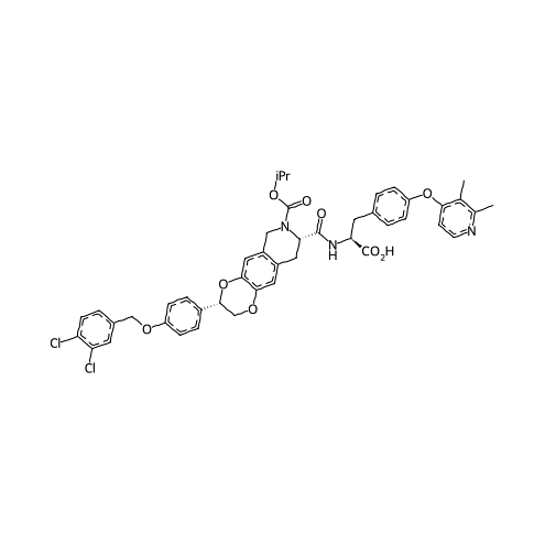 Cc1nccc(Oc2ccc(C[C@H](NC(=O)[C@@H]3Cc4cc5c(cc4CN3C(=O)OC(C)C)O[C@@H](c3ccc(OCc4ccc(Cl)c(Cl)c4)cc3)CO5)C(=O)O)cc2)c1C